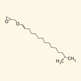 CC(C)CCCCCCCCCCCC=COCC1CO1